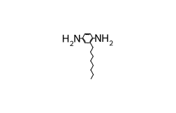 CCCCCCCCc1cc(N)ccc1N